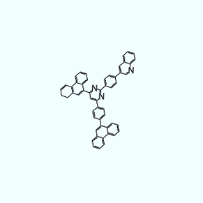 C1=Cc2c(cc(-c3cc(-c4ccc(-c5cc6ccccc6c6ccccc56)cc4)nc(-c4ccc(-c5cnc6ccccc6c5)cc4)n3)c3ccccc23)CC1